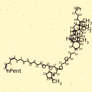 CCCCC/C=C\C/C=C\CCCCCCCCOCOCC(CN1CCCC1C)OCCOCCC[C@H]1CC[C@@]2(C)C(=CC[C@H]3[C@@H]4CC[C@](N)([C@H](C)CCCC(C)C)[C@@]4(C)CC[C@@]32N)C1